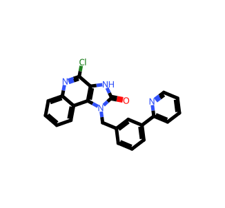 O=c1[nH]c2c(Cl)nc3ccccc3c2n1Cc1cccc(-c2ccccn2)c1